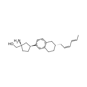 C/C=C/C=C\C[C@@H]1CCc2cc([C@H]3CC[C@](N)(CO)C3)ccc2C1